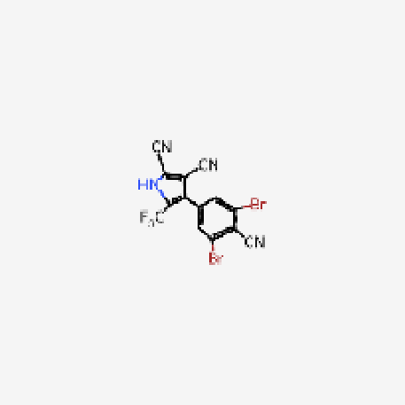 N#Cc1[nH]c(C(F)(F)F)c(-c2cc(Br)c(C#N)c(Br)c2)c1C#N